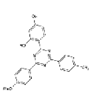 COc1ccc(-c2nc(-c3ccc(C)cc3)nc(-c3ccc(O)cc3O)n2)cc1